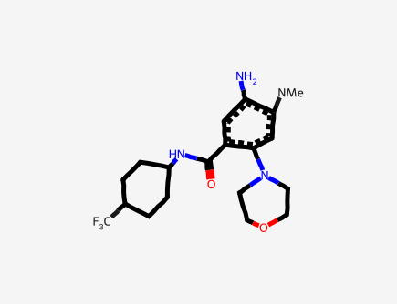 CNc1cc(N2CCOCC2)c(C(=O)NC2CCC(C(F)(F)F)CC2)cc1N